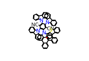 N#Cc1c(-n2c3ccccc3c3ccccc32)c(-n2c3ccccc3c3ccccc32)c(C#N)c(-n2c3cccc(-c4ccccc4-c4cccc5ccccc45)c3c3ccc4c5ccccc5sc4c32)c1-n1c2ccccc2c2ccccc21